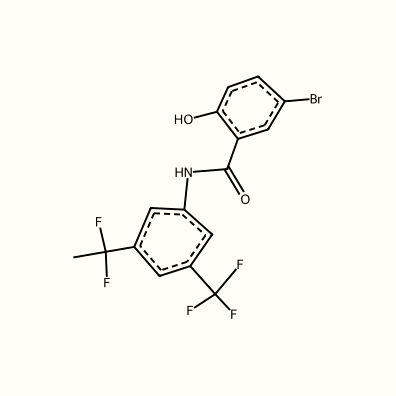 CC(F)(F)c1cc(NC(=O)c2cc(Br)ccc2O)cc(C(F)(F)F)c1